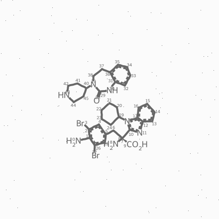 Nc1c(Br)cc(C[C@](N)(C(=O)O)c2nc3ccccc3n2C2CCCCC2)cc1Br.O=C1Nc2ccccc2CCN1C1CCNCC1